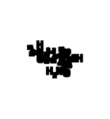 NC(=O)c1cn2c(-c3ccc(C(=O)NC4CC4)cc3)cnc2c(S)n1